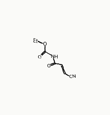 CCOC(=O)NC(=O)C=CC#N